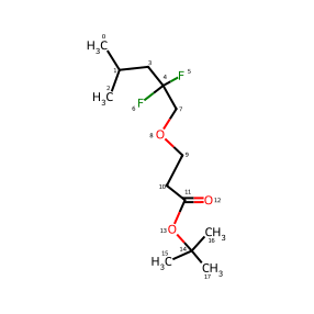 CC(C)CC(F)(F)COCCC(=O)OC(C)(C)C